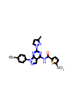 Cc1ccn(-c2nc(NC(=O)c3ccc([N+](=O)[O-])s3)c3cnn(-c4ccc(C(C)(C)C)cc4)c3n2)n1